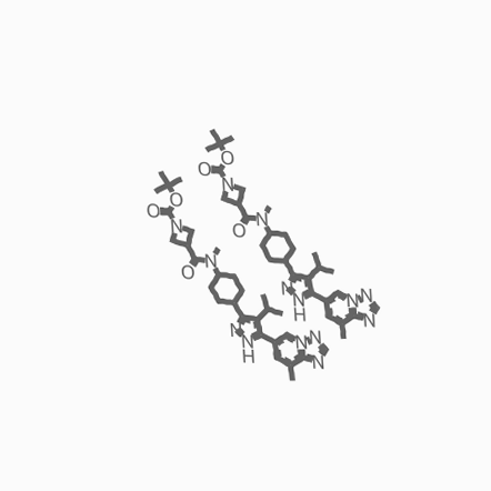 Cc1cc(-c2[nH]nc(C3CCC(N(C)C(=O)C4CN(C(=O)OC(C)(C)C)C4)CC3)c2C(C)C)cn2ncnc12.Cc1cc(-c2[nH]nc(C3CCC(N(C)C(=O)C4CN(C(=O)OC(C)(C)C)C4)CC3)c2C(C)C)cn2ncnc12